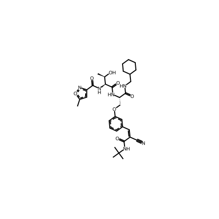 Cc1cc(C(=O)N[C@H](C(=O)N[C@@H](COc2cccc(C=C(C#N)C(=O)NC(C)(C)C)c2)C(=O)NCC2CCCCC2)[C@@H](C)O)no1